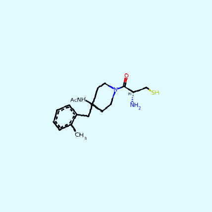 CC(=O)NC1(Cc2ccccc2C)CCN(C(=O)[C@@H](N)CS)CC1